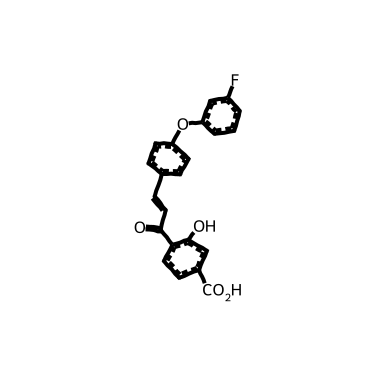 O=C(O)c1ccc(C(=O)/C=C/c2ccc(Oc3cccc(F)c3)cc2)c(O)c1